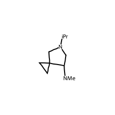 CNC1CN(C(C)C)CC12CC2